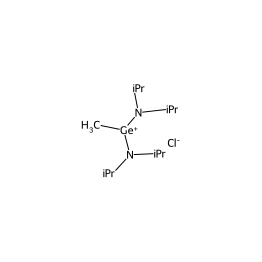 CC(C)[N](C(C)C)[Ge+]([CH3])[N](C(C)C)C(C)C.[Cl-]